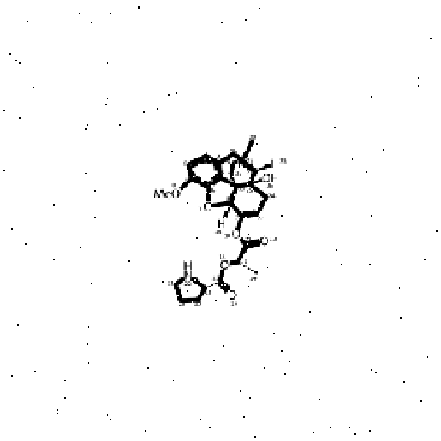 COc1ccc2c3c1O[C@H]1C(OC(=O)[C@H](C)OC(=O)[C@@H]4CCCN4)=CC[C@@]4(O)[C@@H](C2)N(C)CC[C@]314